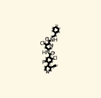 C#Cc1cnccc1-c1cc(Cl)c(C(=O)Nc2cnc(C(=O)NCCc3ccccc3)c(Cl)c2)cc1F